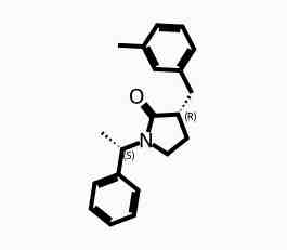 Cc1cccc(C[C@@H]2CCN([C@@H](C)c3ccccc3)C2=O)c1